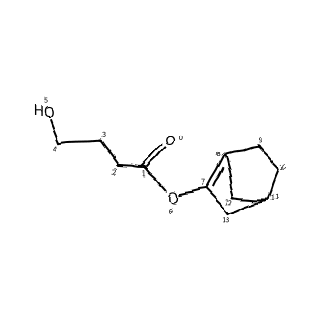 O=C(CCCO)OC1=C2CCC(C2)C1